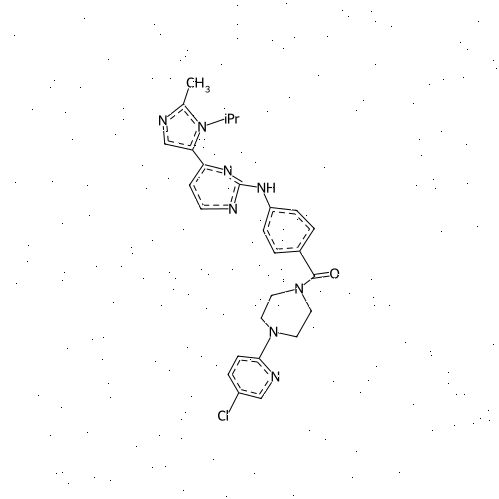 Cc1ncc(-c2ccnc(Nc3ccc(C(=O)N4CCN(c5ccc(Cl)cn5)CC4)cc3)n2)n1C(C)C